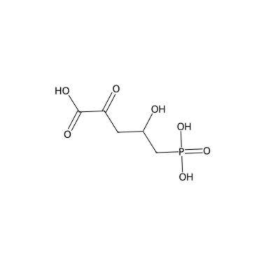 O=C(O)C(=O)CC(O)CP(=O)(O)O